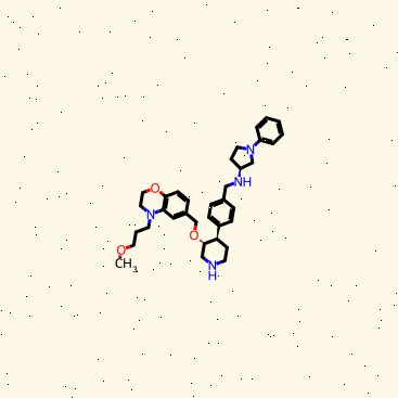 COCCCN1CCOc2ccc(CO[C@H]3CNCC[C@@H]3c3ccc(CN[C@H]4CCN(c5ccccc5)C4)cc3)cc21